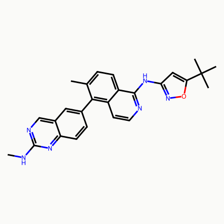 CNc1ncc2cc(-c3c(C)ccc4c(Nc5cc(C(C)(C)C)on5)nccc34)ccc2n1